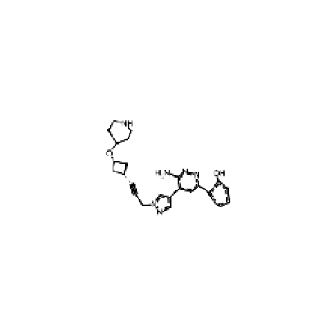 Nc1nnc(-c2ccccc2O)cc1-c1cnn(CC#C[C@H]2C[C@H](OC3CCNCC3)C2)c1